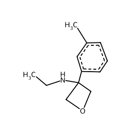 CCNC1(c2cccc(C)c2)COC1